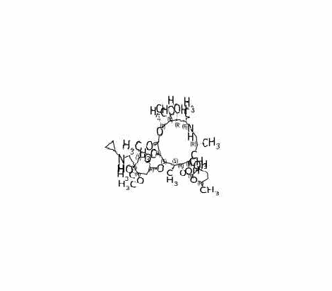 CC[C@H]1OC(=O)[C@H](C)[C@@H](O[C@H]2C[C@@](C)(OC)[C@](O)(CNC3CC3)[C@H](C)O2)[C@H](C)[C@@H](O[C@@H]2O[C@H](C)CC[C@H]2O)[C@](C)(O)C[C@@H](C)CN[C@H](C)[C@@H](O)[C@]1(C)O